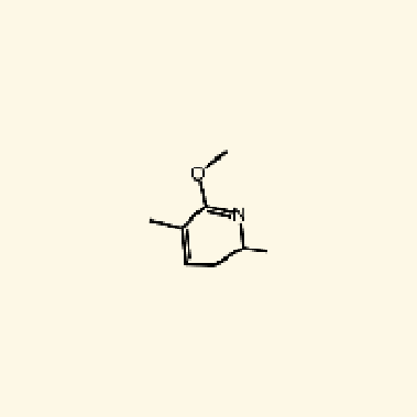 COC1=NC(C)CC=C1C